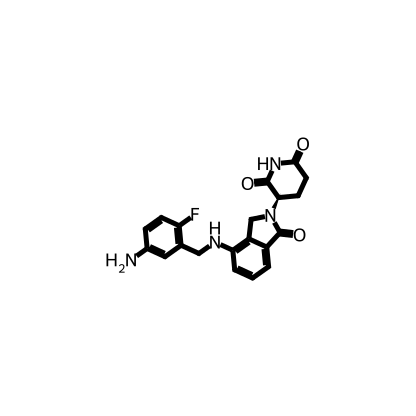 Nc1ccc(F)c(CNc2cccc3c2CN([C@@H]2CCC(=O)NC2=O)C3=O)c1